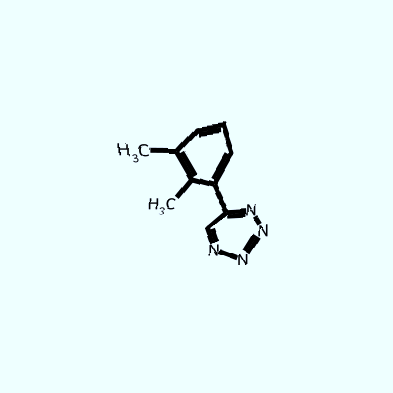 Cc1cccc(-c2cnnnn2)c1C